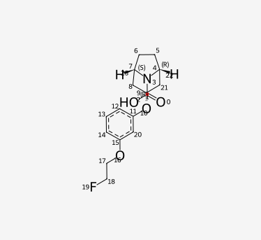 O=C(O)N1[C@@H]2CC[C@H]1C[C@@H](Oc1cccc(OCCF)c1)C2